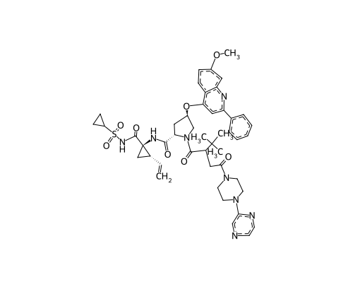 C=C[C@@H]1C[C@]1(NC(=O)[C@@H]1C[C@@H](Oc2cc(-c3ccccc3)nc3cc(OC)ccc23)CN1C(=O)C(CC(=O)N1CCN(c2cnccn2)CC1)C(C)(C)C)C(=O)NS(=O)(=O)C1CC1